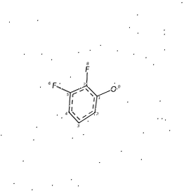 [O]c1cccc(F)c1F